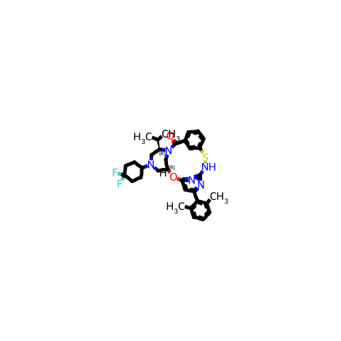 Cc1cccc(C)c1-c1cc2nc(n1)NSc1cccc(c1)C(=O)N1C[C@@H](CN(C3CCC(F)(F)CC3)C[C@H]1C(C)C)O2